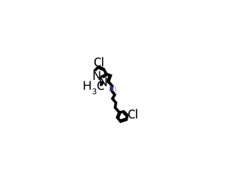 Cn1c(/C=C/CCCCc2cccc(Cl)c2)cc2cc(Cl)cnc21